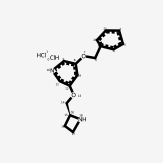 Cl.Cl.c1ccc(COc2cncc(OC[C@@H]3CCN3)c2)cc1